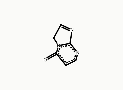 O=c1ccnc2n1CC=N2